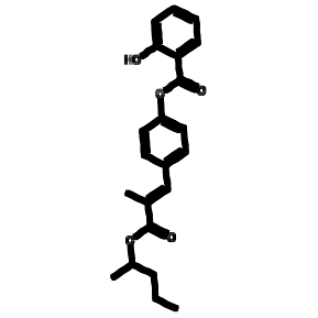 CCCC(C)OC(=O)/C(C)=C/c1ccc(OC(=O)c2ccccc2O)cc1